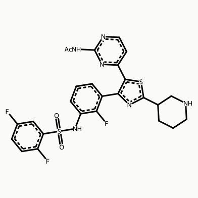 CC(=O)Nc1nccc(-c2sc(C3CCCNC3)nc2-c2cccc(NS(=O)(=O)c3cc(F)ccc3F)c2F)n1